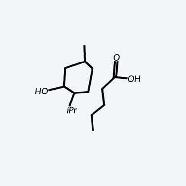 CC1CCC(C(C)C)C(O)C1.CCCCC(=O)O